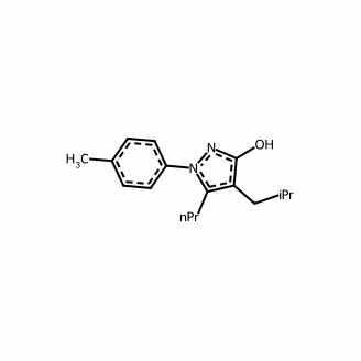 CCCc1c(CC(C)C)c(O)nn1-c1ccc(C)cc1